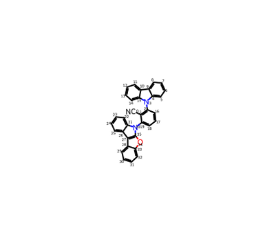 N#Cc1c(-n2c3ccccc3c3ccccc32)cccc1-n1c2ccccc2c2c3ccccc3oc21